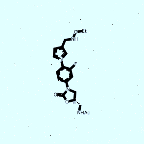 CCONCc1ccn(-c2ccc(N3C[C@H](CNC(C)=O)OC3=O)cc2F)c1